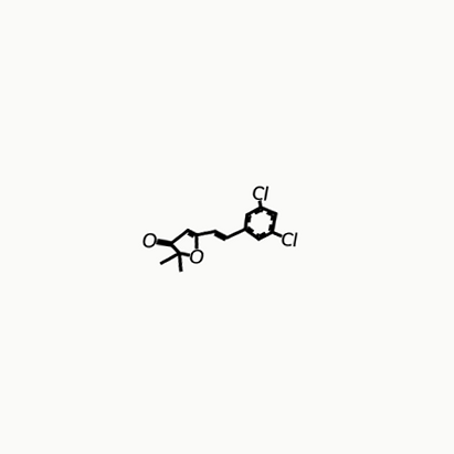 CC1(C)OC(C=Cc2cc(Cl)cc(Cl)c2)=CC1=O